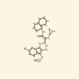 O=C(O)Cn1c2c(c3cc(F)ccc31)C[C@@H](N(CC1CC1)C(=O)Cc1cccc3ccccc13)CC2